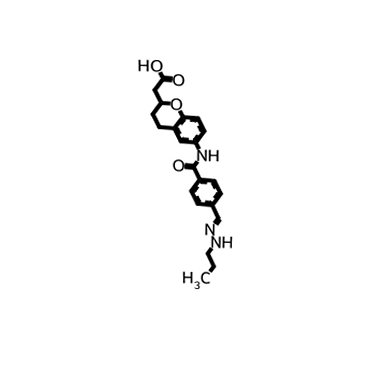 CCCNN=Cc1ccc(C(=O)Nc2ccc3c(c2)CCC(CC(=O)O)O3)cc1